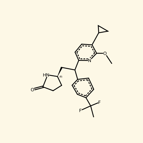 COc1nc(C(C[C@H]2CCC(=O)N2)c2ccc(C(C)(F)F)cc2)ccc1C1CC1